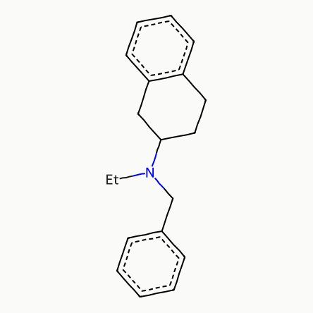 CCN(Cc1ccccc1)C1CCc2ccccc2C1